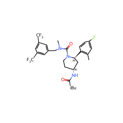 CCC(C)C(=O)N[C@@H]1CCN(C(=O)N(C)Cc2cc(C(F)(F)F)cc(C(F)(F)F)c2)[C@@H](c2ccc(F)cc2C)C1